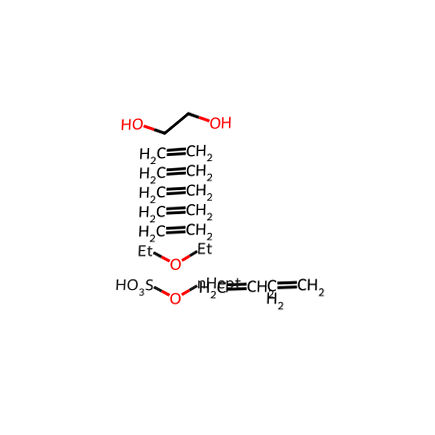 C=C.C=C.C=C.C=C.C=C.C=C.C=C.CCCCCCCOS(=O)(=O)O.CCOCC.OCCO